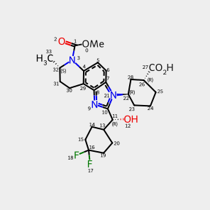 COC(=O)N1c2ccc3c(nc([C@H](O)C4CCC(F)(F)CC4)n3[C@@H]3CCC[C@@H](C(=O)O)C3)c2CC[C@@H]1C